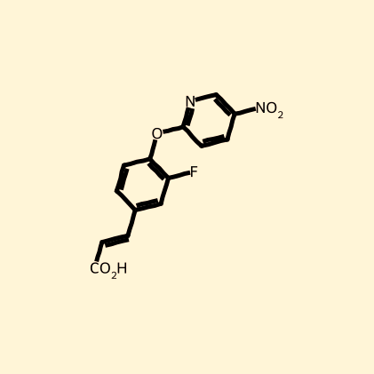 O=C(O)C=Cc1ccc(Oc2ccc([N+](=O)[O-])cn2)c(F)c1